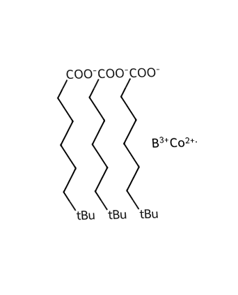 CC(C)(C)CCCCCC(=O)[O-].CC(C)(C)CCCCCC(=O)[O-].CC(C)(C)CCCCCC(=O)[O-].[B+3].[Co+2]